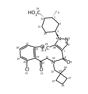 C[C@@H]1C[C@@H](n2ncc(C(=O)N(CC(=O)c3c(Cl)cccc3Cl)CC3(C)CCC3)c2C(F)(F)F)CC[C@@H]1C(=O)O